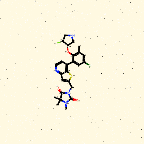 Cc1cc(Cl)cc(-c2ccnc3cc(CN4C(=O)N(C)C(C)(C)C4=O)sc23)c1O[C@@H]1CNC[C@@H]1F